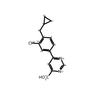 O=C(O)c1cc(-c2ccc(CC3CC3)c(Cl)c2)ncn1